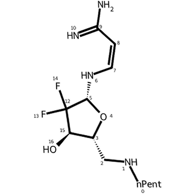 CCCCCNC[C@H]1O[C@@H](N/C=C\C(=N)N)C(F)(F)[C@@H]1O